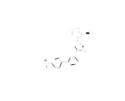 CS(=O)(=O)c1ccc(-c2cccc(-c3cn(C4CCCN4C#N)cn3)c2)cc1